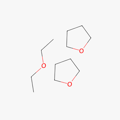 C1CCOC1.C1CCOC1.CCOCC